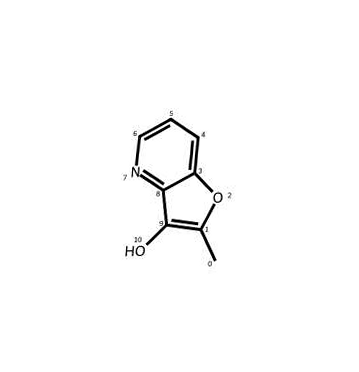 Cc1oc2cccnc2c1O